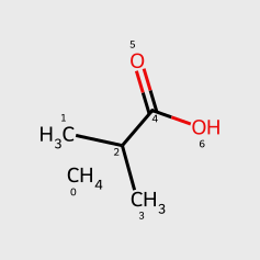 C.CC(C)C(=O)O